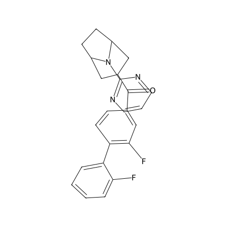 O=C(c1ccc(-c2ccccc2F)c(F)c1)C1CC2CCC(C1)N2c1ncccn1